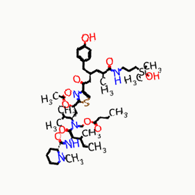 CCCC(=O)OCN(C(=O)[C@@H](NC(=O)[C@H]1CCCCN1C)C(C)CC)[C@H](C[C@@H](OC(C)=O)c1nc(C(=O)C[C@@H](Cc2ccc(O)cc2)C[C@H](C)C(=O)NCCC[Si](C)(C)O)cs1)C(C)C